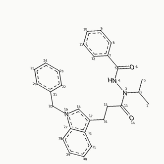 CC(C)N(NC(=O)c1ccccc1)C(=O)CCc1cn(Cc2ccccc2)c2ccccc12